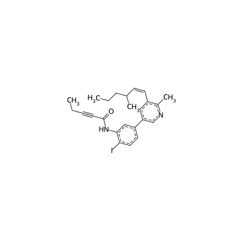 CCC#CC(=O)Nc1cc(-c2cnc(C)c(/C=C\C(C)CCC)c2)ccc1I